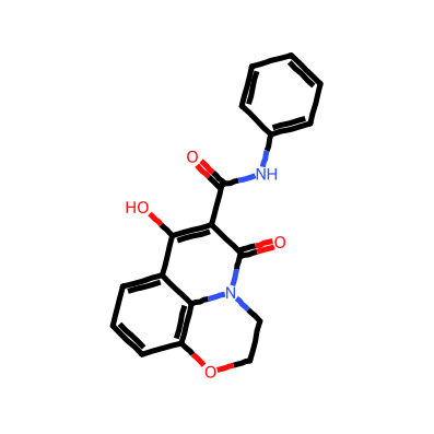 O=C(Nc1ccccc1)c1c(O)c2cccc3c2n(c1=O)CCO3